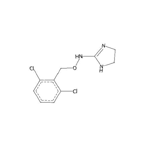 Clc1cccc(Cl)c1CONC1=NCCN1